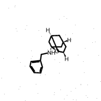 c1ccc(CN[C@]23C[C@@H]4C[C@@H](C[C@H](C4)O2)C3)cc1